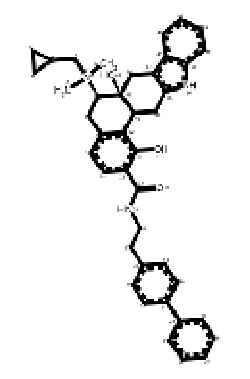 C[N+](C)(CC1CC1)[C@@H]1Cc2ccc(C(=O)NCCc3ccc(-c4ccccc4)cc3)c(O)c2C2Cc3[nH]c4ccccc4c3C[C@]21O